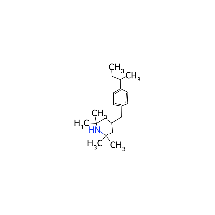 CCC(C)c1ccc(CC2CC(C)(C)NC(C)(C)C2)cc1